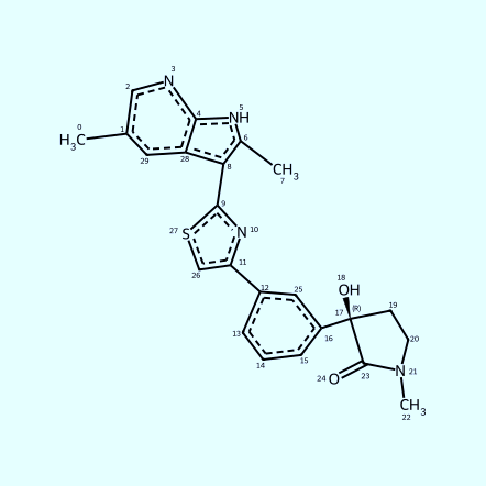 Cc1cnc2[nH]c(C)c(-c3nc(-c4cccc([C@]5(O)CCN(C)C5=O)c4)cs3)c2c1